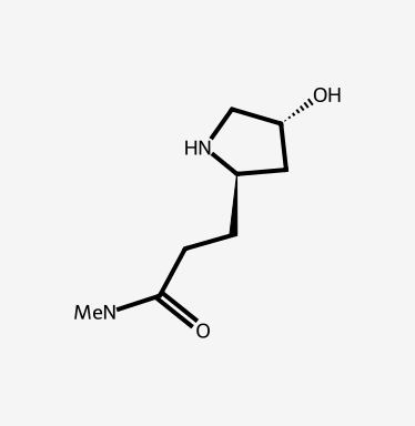 CNC(=O)CC[C@@H]1C[C@@H](O)CN1